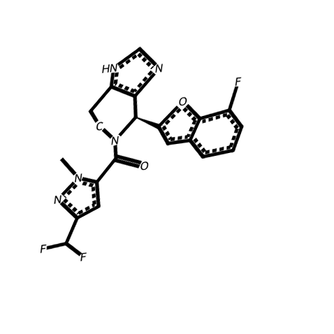 Cn1nc(C(F)F)cc1C(=O)N1CCc2[nH]cnc2[C@H]1c1cc2cccc(F)c2o1